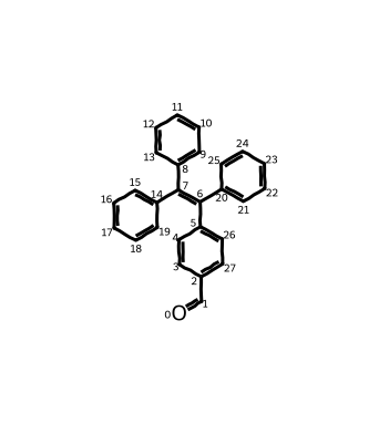 O=Cc1ccc(C(=C(c2ccccc2)c2ccccc2)c2ccccc2)cc1